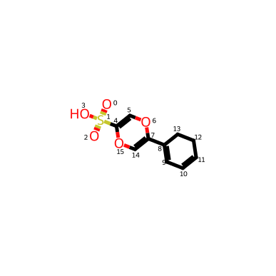 O=S(=O)(O)C1=COC(C2=CC=CCC2)=CO1